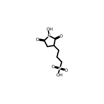 O=C1CC(CCCS(=O)(=O)O)C(=O)N1O